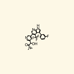 CN(C)C(=O)C(O)c1cncc(-c2cnc3[nH]cc(-c4cccc(F)c4)c3c2C(F)(F)F)c1